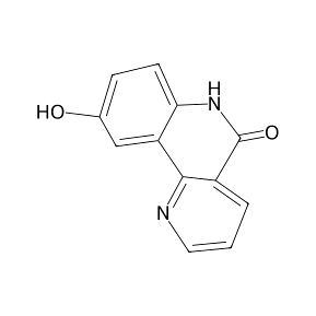 O=c1[nH]c2ccc(O)cc2c2ncccc12